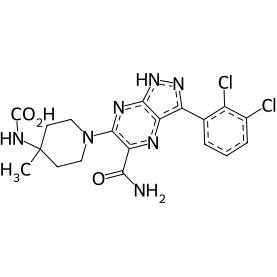 CC1(NC(=O)O)CCN(c2nc3[nH]nc(-c4cccc(Cl)c4Cl)c3nc2C(N)=O)CC1